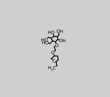 CCC1CCC(OCCOC2C(O)C(CO)C(O)C(CO)C2CO)CC1